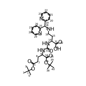 CC(C)(C)OC(=O)CCC(NC(=O)NC(CCNC(c1ccccn1)c1ccccn1)C(=O)O)C(=O)OC(C)(C)C